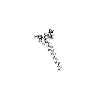 CCCCCCCCCCCCCCC(C)c1c(C(=O)O)sc2c(Br)csc12